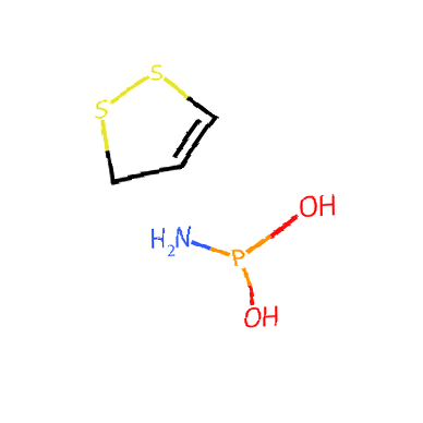 C1=CSSC1.NP(O)O